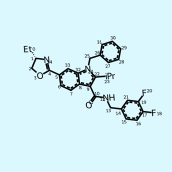 CC[C@H]1COC(c2ccc3c(C(=O)NCc4ccc(F)c(F)c4)c(C(C)C)n(Cc4ccccc4)c3c2)=N1